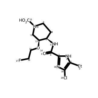 CCc1[nH]c(C(=O)N[C@@H]2CCN(C(=O)O)C[C@@H]2OCCF)nc1Cl